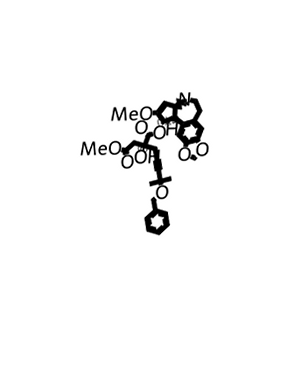 COC(=O)C[C@](O)(CC#CC(C)(C)OCc1ccccc1)C(=O)O[C@@H]1C(OC)=CC23CCCN2CCc2cc4c(cc2[C@H]13)OCO4